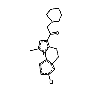 Cc1cc(C(=O)CN2CCCCC2)c2n1-c1ccc(Cl)cc1CC2